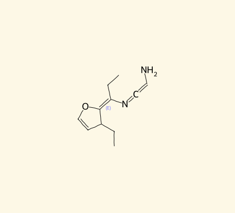 CC/C(N=C=CN)=C1\OC=CC1CC